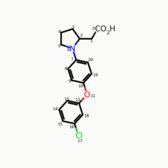 O=C(O)CC1CCCN1c1ccc(Oc2cccc(Cl)c2)cc1